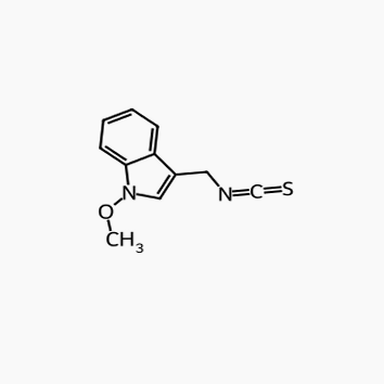 COn1cc(CN=C=S)c2ccccc21